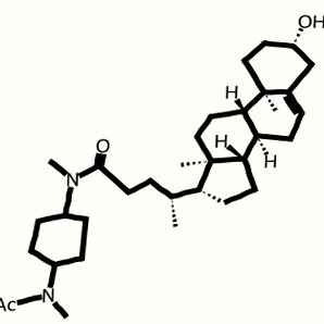 CC(=O)N(C)C1CCC(N(C)C(=O)CC[C@@H](C)[C@H]2CC[C@H]3[C@@H]4CC=C5C[C@@H](O)CC[C@]5(C)[C@H]4CC[C@]23C)CC1